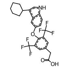 O=C(O)Cc1cc(C(F)(F)F)c(Oc2ccc3[nH]cc(C4CCCCC4)c3c2)c(C(F)(F)F)c1